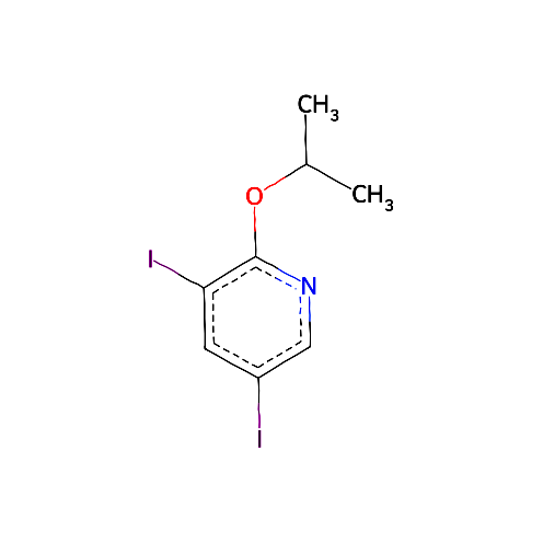 CC(C)Oc1ncc(I)cc1I